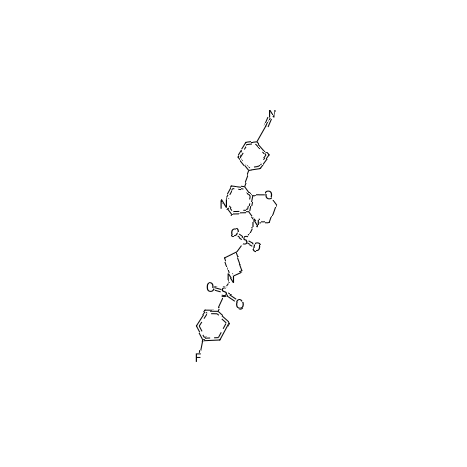 N#Cc1ccc(-c2cncc3c2OCCN3S(=O)(=O)C2CN(S(=O)(=O)c3ccc(F)cc3)C2)cc1